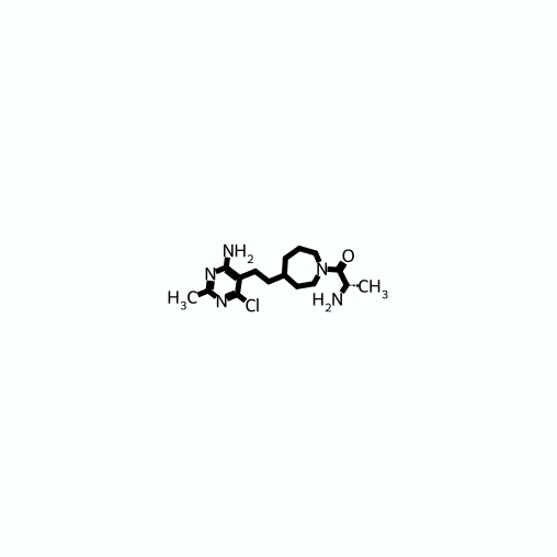 Cc1nc(N)c(CCC2CCCN(C(=O)[C@H](C)N)CC2)c(Cl)n1